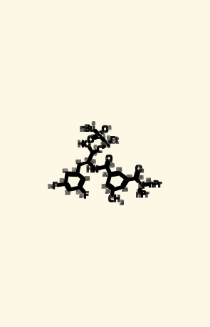 CCCCS(=O)(=O)N(CC)C[C@H](O)[C@H](Cc1cc(F)cc(F)c1)NC(=O)c1cc(C)cc(C(=O)N(CCC)CCC)c1